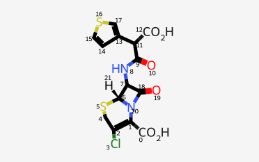 O=C(O)C1=C(Cl)CS[C@@H]2C(NC(=O)C(C(=O)O)c3ccsc3)C(=O)N12